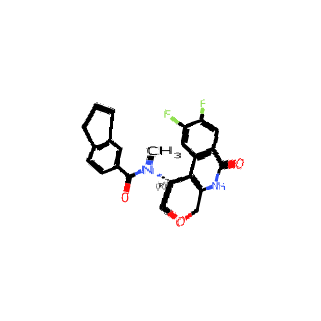 CN(C(=O)c1ccc2c(c1)CCC2)[C@H]1COCc2[nH]c(=O)c3cc(F)c(F)cc3c21